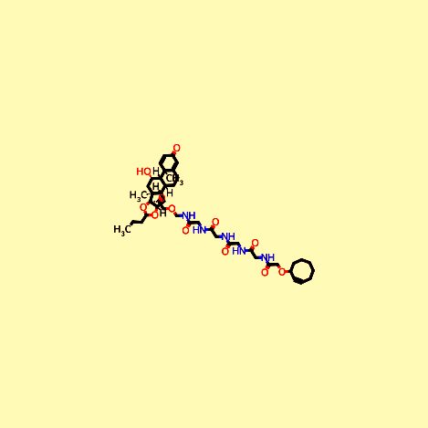 CCCC1O[C@@H]2C[C@H]3[C@@H]4CCC5=CC(=O)C=C[C@]5(C)[C@H]4[C@@H](O)C[C@]3(C)[C@]2(C(=O)COCNC(=O)CNC(=O)CNC(=O)CNC(=O)CNC(=O)COC2C#CCCCCC2)O1